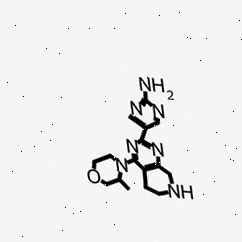 CC1COCCN1c1nc(-c2cnc(N)nc2)nc2c1CCNC2